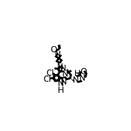 C=CC(=O)N1CC2(CC(n3nc(N4CC[C@@H](CN5CCN6CCOC[C@H]6C5)CC4(C)C)c(-c4c(Cl)c(Cl)cc5[nH]ncc45)c3C)C2)C1